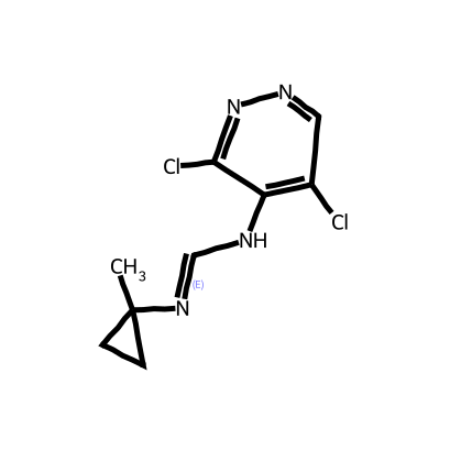 CC1(/N=C/Nc2c(Cl)cnnc2Cl)CC1